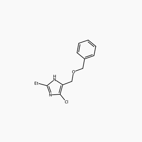 CCc1nc(Cl)c(COCc2ccccc2)[nH]1